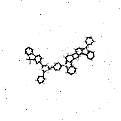 CC1(C)c2ccccc2-c2ccc(-c3nc(-c4ccccc4)nc(-c4ccc(-n5c6ccccc6c6c7oc8c(ccc9c8c8ccccc8n9-c8ccccc8)c7ccc65)cc4)n3)cc21